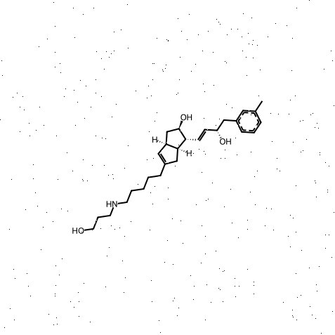 Cc1cccc(C[C@H](O)/C=C/[C@@H]2[C@H]3CC(CCCCCNCCCO)=C[C@H]3C[C@H]2O)c1